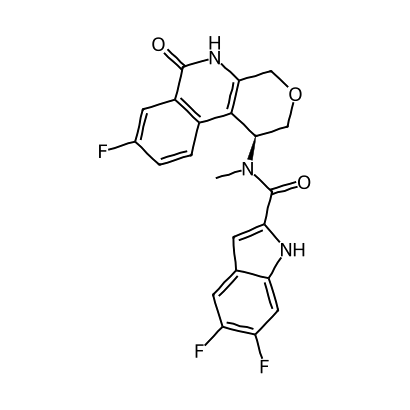 CN(C(=O)c1cc2cc(F)c(F)cc2[nH]1)[C@@H]1COCc2[nH]c(=O)c3cc(F)ccc3c21